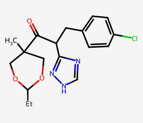 CCC1OCC(C)(C(=O)C(Cc2ccc(Cl)cc2)c2nc[nH]n2)CO1